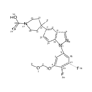 COCOc1cc(-n2ncc3cc(C4(C)CCN(C(=O)O)CC4)ccc32)cc(F)c1F